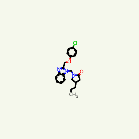 CCCC1CC(=O)N(Cn2c(COc3ccc(Cl)cc3)nc3ccccc32)C1